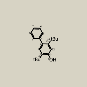 CC(C)(C)c1cc(-c2ccccc2)c(C(C)(C)C)cc1O